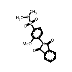 COc1cc(S(=O)(=O)N(C)C)ccc1N1C(=O)c2ccccc2C1=O